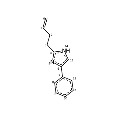 C=CCCc1nc(-c2ccccc2)c[nH]1